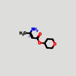 C/C(N)=C/C(=O)OC1CCOCC1